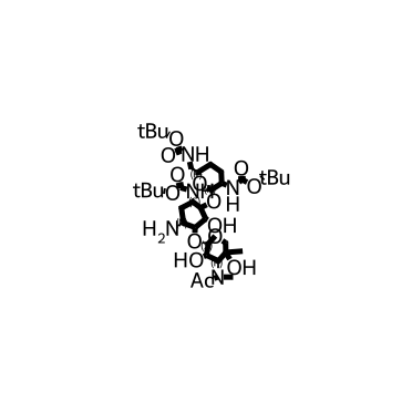 CC(=O)N(C)[C@@H]1C(O)[C@H](OC2C(O)C(O[C@H]3O[C@@H](CNC(=O)OC(C)(C)C)CCC3NC(=O)OC(C)(C)C)[C@@H](NC(=O)OC(C)(C)C)C[C@H]2N)OCC1(C)O